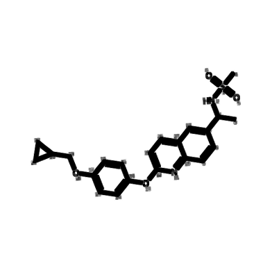 CC(NS(C)(=O)=O)c1ccc2nc(Oc3ccc(OCC4CC4)cc3)ccc2c1